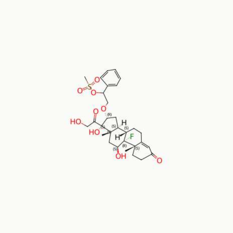 C[C@]12CCC(=O)C=C1CC[C@H]1[C@@H]3C[C@@H](OCC(OS(C)(=O)=O)c4ccccc4)[C@](O)(C(=O)CO)[C@@]3(C)C[C@H](O)[C@@]12F